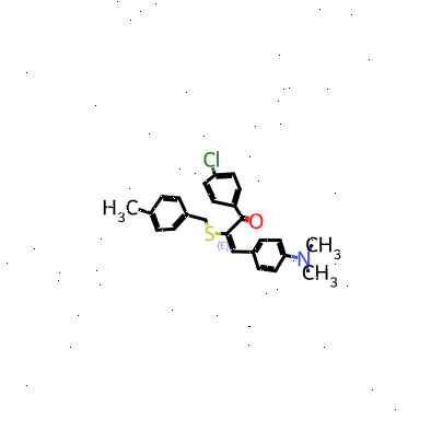 Cc1ccc(CS/C(=C/c2ccc(N(C)C)cc2)C(=O)c2ccc(Cl)cc2)cc1